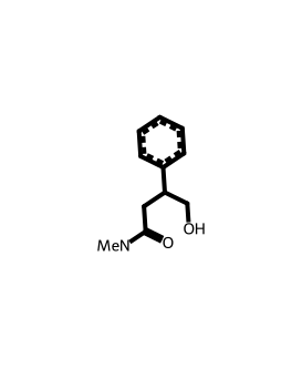 CNC(=O)CC(CO)c1ccccc1